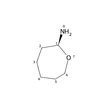 N[C@@H]1CCCCCO1